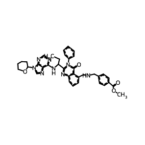 CCC(Nc1ncnc2c1ncn2C1CCCCO1)c1nc2cccc(CNCc3ccc(C(=O)OC)cc3)c2c(=O)n1-c1ccccc1